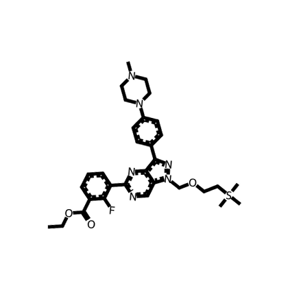 CCOC(=O)c1cccc(-c2ncc3c(n2)c(-c2ccc(N4CCN(C)CC4)cc2)nn3COCCS(C)(C)C)c1F